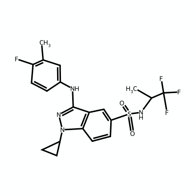 Cc1cc(Nc2nn(C3CC3)c3ccc(S(=O)(=O)NC(C)C(F)(F)F)cc23)ccc1F